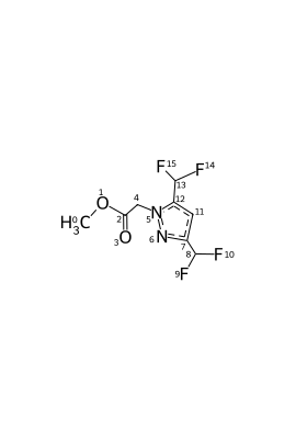 COC(=O)Cn1nc(C(F)F)cc1C(F)F